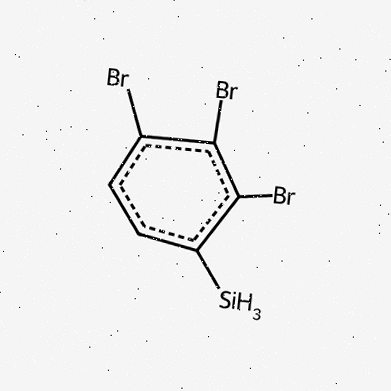 [SiH3]c1ccc(Br)c(Br)c1Br